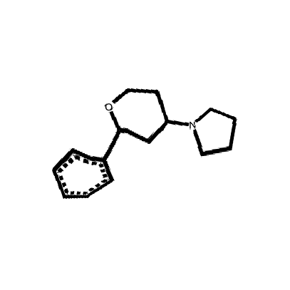 c1ccc(C2CC(N3CCCC3)CCO2)cc1